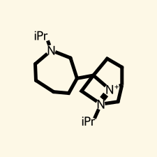 C=[N+]1C2CCC1(C1CCCCN(C(C)C)C1)CN(C(C)C)C2